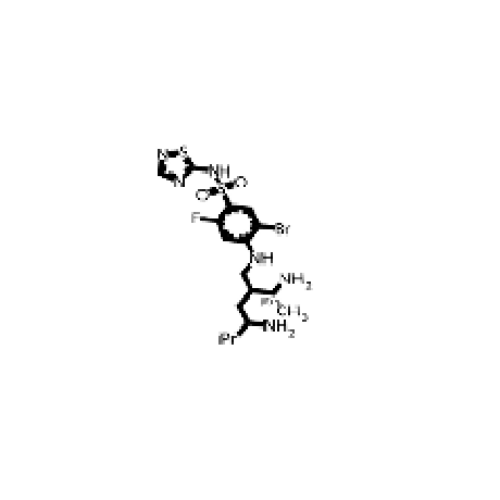 CC(C)C(N)CC(CNc1cc(F)c(S(=O)(=O)Nc2ncns2)cc1Br)[C@@H](C)N